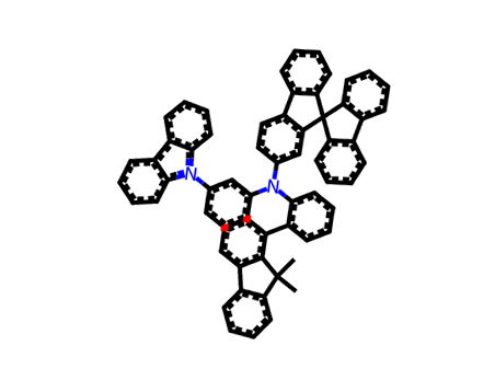 CC1(C)c2ccccc2-c2cccc(-c3ccccc3N(c3cccc(-n4c5ccccc5c5ccccc54)c3)c3ccc4c(c3)C3(c5ccccc5-c5ccccc53)c3ccccc3-4)c21